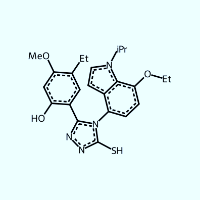 CCOc1ccc(-n2c(S)nnc2-c2cc(CC)c(OC)cc2O)c2ccn(C(C)C)c12